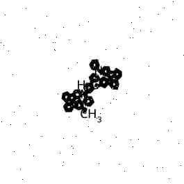 C=Cc1ccc(C2(c3ccccc3)c3ccccc3-c3ccc(N(c4ccccc4)c4ccc(-c5ccc(N(c6ccccc6)C6C=CC7=C(C6)C(C6=CCC(CC)C=C6)(c6ccccc6)C6=C7C=CCC6)cc5)cc4)cc32)cc1